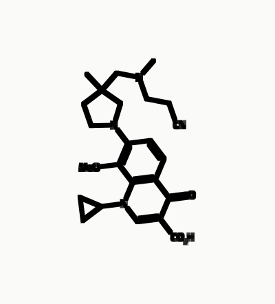 COc1c(N2CCC(C)(CN(C)CCC#N)C2)ccc2c(=O)c(C(=O)O)cn(C3CC3)c12